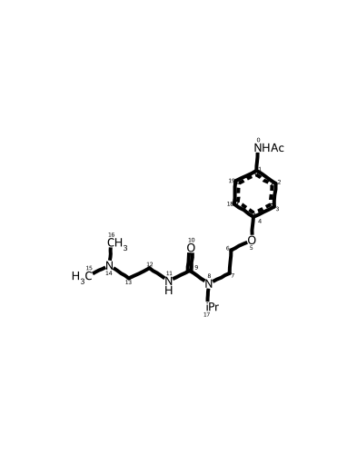 CC(=O)Nc1ccc(OCCN(C(=O)NCCN(C)C)C(C)C)cc1